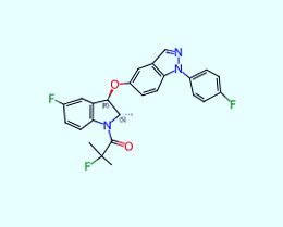 C[C@H]1[C@H](Oc2ccc3c(cnn3-c3ccc(F)cc3)c2)c2cc(F)ccc2N1C(=O)C(C)(C)F